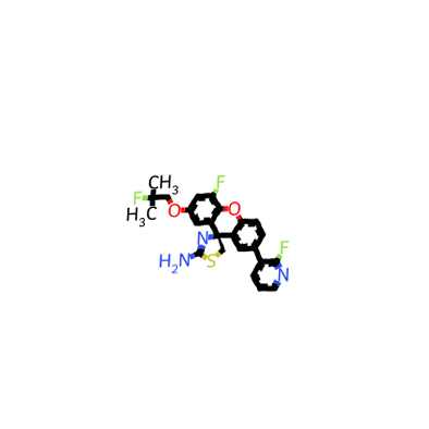 CC(C)(F)COc1cc(F)c2c(c1)[C@]1(CSC(N)=N1)c1cc(-c3cccnc3F)ccc1O2